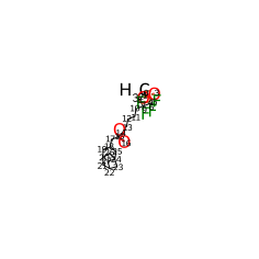 CS(=O)(=O)C(F)(F)C(F)(F)CCCCOC(=O)CC1CC2CC3CC(C1)(C2)C3